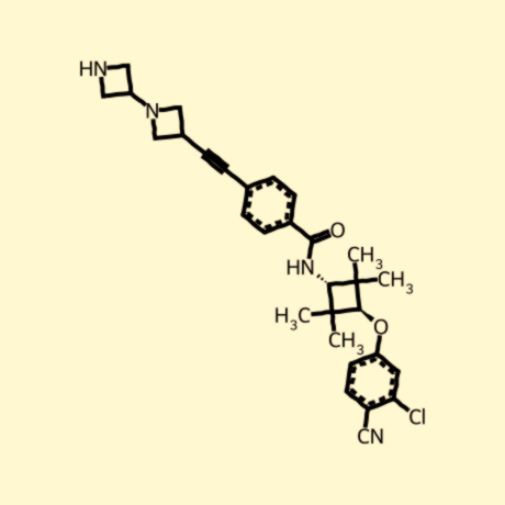 CC1(C)[C@H](NC(=O)c2ccc(C#CC3CN(C4CNC4)C3)cc2)C(C)(C)[C@H]1Oc1ccc(C#N)c(Cl)c1